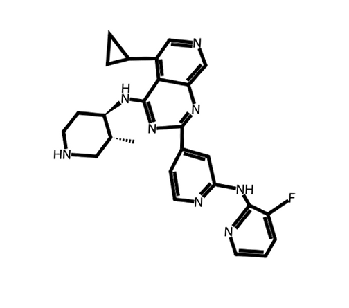 C[C@@H]1CNCC[C@H]1Nc1nc(-c2ccnc(Nc3ncccc3F)c2)nc2cncc(C3CC3)c12